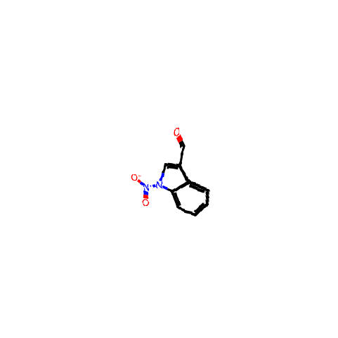 O=Cc1cn([N+](=O)[O-])c2ccccc12